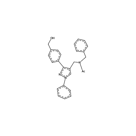 CC(=O)N(Cc1ccccc1)Cc1cn(-c2ccccc2)nc1-c1ccc(CO)cc1